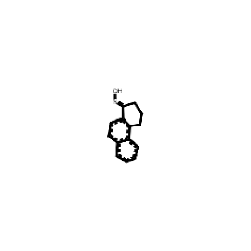 ON=C1CCCc2c1ccc1ccccc21